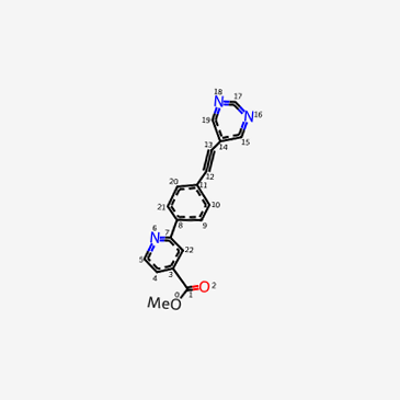 COC(=O)c1ccnc(-c2ccc(C#Cc3cncnc3)cc2)c1